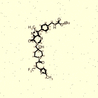 Cc1ccc([C@@H](CC(=O)N2CCC(O)(Cn3cnc4c(-c5ccc(CNC(=O)OC(C)(C)C)cc5)n(C)nc4c3=O)CC2)C(F)(F)F)s1